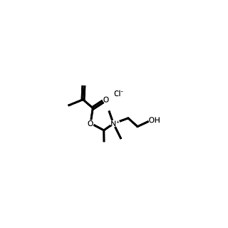 C=C(C)C(=O)OC(C)[N+](C)(C)CCO.[Cl-]